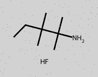 CCC(C)(C)C(C)(C)N.F